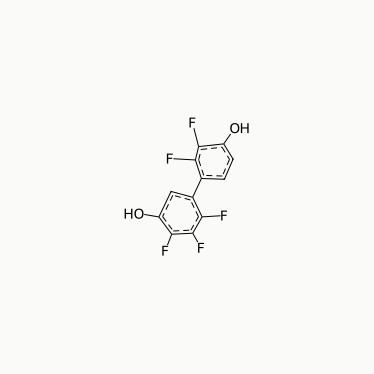 Oc1ccc(-c2cc(O)c(F)c(F)c2F)c(F)c1F